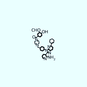 Nc1ncccc1-c1nc2ccc(C3=CCCCC3)nc2n1-c1ccc(CN2CCN(C(=O)c3ccc(O)c(C=O)c3)CC2)cc1